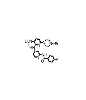 CC(C)(C)N1CCN(c2ccc([N+](=O)[O-])c(Nc3ccnc(NC(=O)c4ccc(F)cc4)c3)n2)CC1